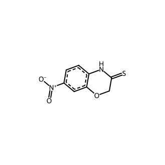 O=[N+]([O-])c1ccc2c(c1)OCC(=S)N2